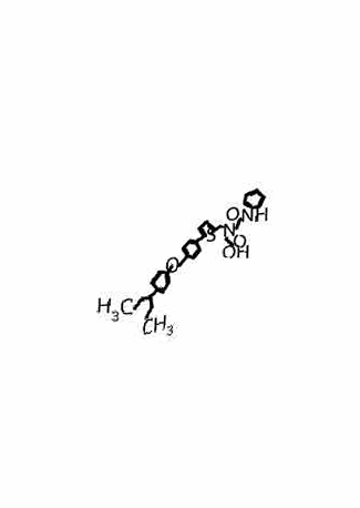 CCCC(CCC)c1ccc(OCc2ccc(-c3ccc(CN(CC(=O)O)CC(=O)Nc4ccccc4)s3)cc2)cc1